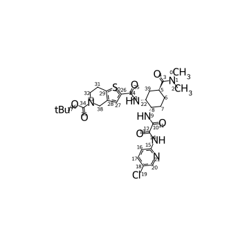 CN(C)C(=O)[C@H]1CC[C@H](NC(=O)C(=O)Nc2ccc(Cl)cn2)[C@H](NC(=O)c2cc3c(s2)CCN(C(=O)OC(C)(C)C)C3)C1